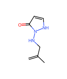 C=C(C)CNn1[nH]ccc1=O